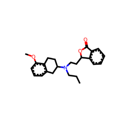 CCCN(CCC1OC(=O)c2ccccc21)C1CCc2c(cccc2OC)C1